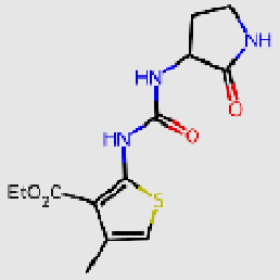 CCOC(=O)c1c(C)csc1NC(=O)NC1CCNC1=O